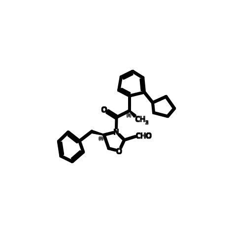 C[C@@H](C(=O)N1C(C=O)OC[C@H]1Cc1ccccc1)c1ccccc1C1CCCC1